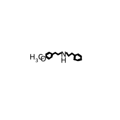 COc1ccc(CCCNCCCc2ccccc2)cc1